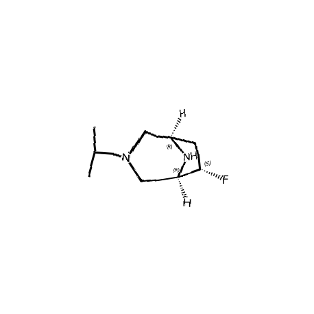 CC(C)N1C[C@H]2C[C@H](F)[C@@H](C1)N2